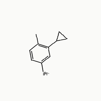 C[C](C)c1ccc(C)c(C2CC2)c1